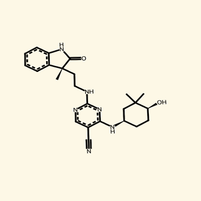 CC1(C)C[C@H](Nc2nc(NCC[C@@]3(C)C(=O)Nc4ccccc43)ncc2C#N)CC[C@@H]1O